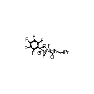 CC(C)CNC(=O)N(F)N(F)S(=O)(=O)c1c(F)c(F)c(F)c(F)c1F